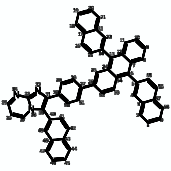 c1ccc2cc(-c3c4ccccc4c(-c4ccc5ccccc5c4)c4cc(-c5ccc(-c6nc7ncccn7c6-c6ccc7ccccc7c6)cc5)ccc34)ccc2c1